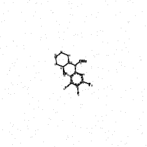 COC(c1cc(F)c(F)c(F)c1)N1CCOC[C@@H]1C